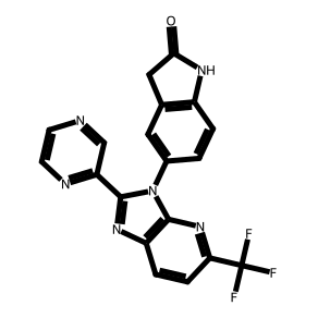 O=C1Cc2cc(-n3c(-c4cnccn4)nc4ccc(C(F)(F)F)nc43)ccc2N1